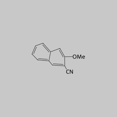 COc1cc2ccccc2cc1C#N